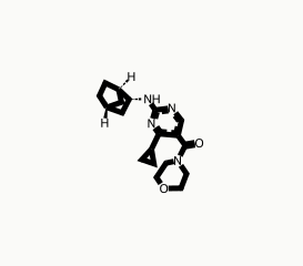 O=C(c1cnc(N[C@@H]2C[C@@H]3CC[C@@H]2C3)nc1C1CC1)N1CCOCC1